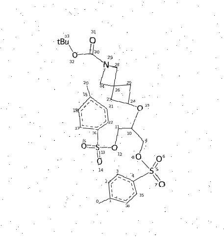 Cc1ccc(S(=O)(=O)OCC(COS(=O)(=O)c2ccc(C)cc2)OC2CC3(C2)CN(C(=O)OC(C)(C)C)C3)cc1